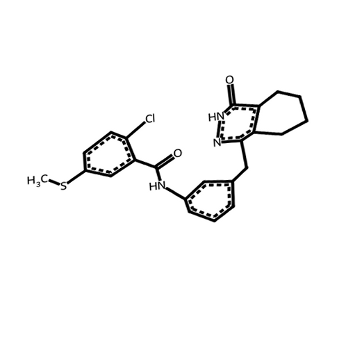 CSc1ccc(Cl)c(C(=O)Nc2cccc(Cc3n[nH]c(=O)c4c3CCCC4)c2)c1